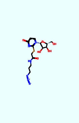 [N-]=[N+]=NCCCNC(=O)CSc1nc(=O)ccn1[C@@H]1O[C@H](CO)[C@@H](O)[C@H]1O